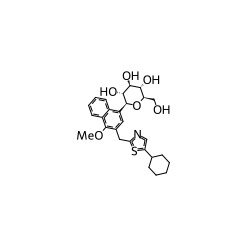 COc1c(Cc2ncc(C3CCCCC3)s2)cc([C@@H]2O[C@H](CO)[C@@H](O)[C@H](O)[C@H]2O)c2ccccc12